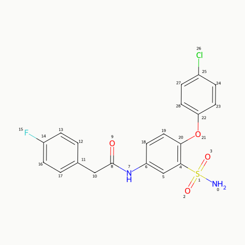 NS(=O)(=O)c1cc(NC(=O)Cc2ccc(F)cc2)ccc1Oc1ccc(Cl)cc1